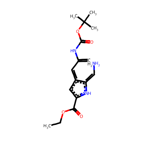 C=C(/C=c1/cc(C(=O)OCC)[nH]/c1=C/N)NC(=O)OC(C)(C)C